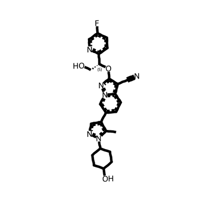 Cc1c(-c2ccc3c(C#N)c(O[C@H](CO)c4ccc(F)cn4)nn3c2)cnn1C1CCC(O)CC1